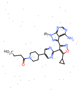 CC(C)n1nc(-c2noc(C3CC3)c2-c2ncc(C3CCN(C(=O)CCC(=O)O)CC3)cn2)c2c(N)ncnc21